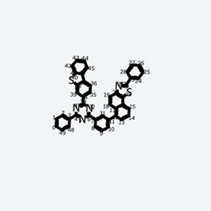 c1ccc(-c2nc(-c3cccc(-c4cccc5c4ccc4nc(-c6ccccc6)sc45)c3)nc(-c3ccc4c(c3)sc3ccccc34)n2)cc1